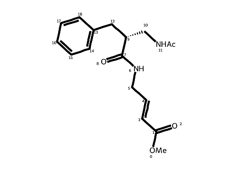 COC(=O)/C=C/CNC(=O)[C@@H](CNC(C)=O)Cc1ccccc1